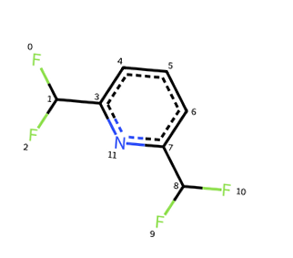 FC(F)c1cccc(C(F)F)n1